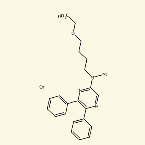 CC(C)N(CCCCOCC(=O)O)c1cnc(-c2ccccc2)c(-c2ccccc2)n1.[Ca]